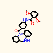 COc1cccc(OC)c1C(=O)Nc1ccc(C(=O)N2c3ccccc3CNc3ccccc32)cc1